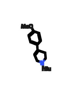 CCCCN1CC=C(c2ccc(OC)cc2)CC1